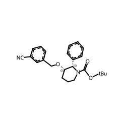 CC(C)(C)OC(=O)N1CCC[C@H](OCc2cccc(C#N)c2)[C@@H]1c1ccccc1